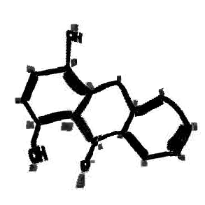 [O-][S+]1c2ccccc2Cc2c(O)ccc(O)c21